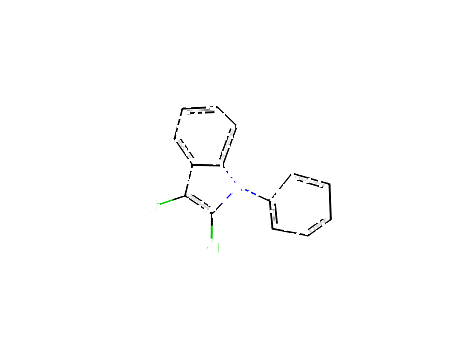 Clc1c(Cl)n(-c2ccccc2)c2ccccc12